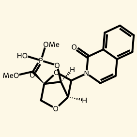 COC[C@@]12CO[C@H](C(n3ccc4ccccc4c3=O)O1)[C@@H]2OP(=O)(O)OC